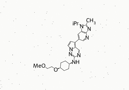 COCCO[C@H]1CC[C@@H](Nc2ncc3c(-c4cnc5nc(C)n(C(C)C)c5c4)ccn3n2)CC1